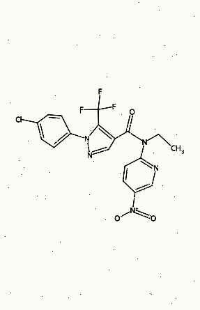 CCN(C(=O)c1cnn(-c2ccc(Cl)cc2)c1C(F)(F)F)c1ccc([N+](=O)[O-])cn1